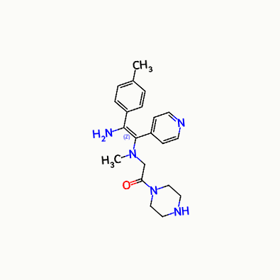 Cc1ccc(/C(N)=C(\c2ccncc2)N(C)CC(=O)N2CCNCC2)cc1